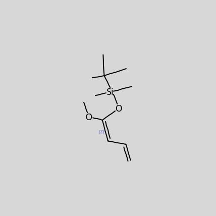 C=C/C=C(/OC)O[Si](C)(C)C(C)(C)C